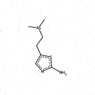 C[As](C)CCc1cnc(N)s1